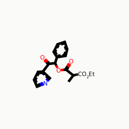 CCOC(=O)C(C)C(=O)OC(C(=O)c1cccnc1)c1ccccc1